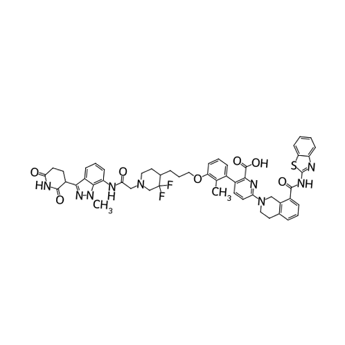 Cc1c(OCCCC2CCN(CC(=O)Nc3cccc4c(C5CCC(=O)NC5=O)nn(C)c34)CC2(F)F)cccc1-c1ccc(N2CCc3cccc(C(=O)Nc4nc5ccccc5s4)c3C2)nc1C(=O)O